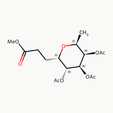 COC(=O)CC[C@@H]1O[C@@H](C)[C@@H](OC(C)=O)[C@@H](OC(C)=O)[C@@H]1OC(C)=O